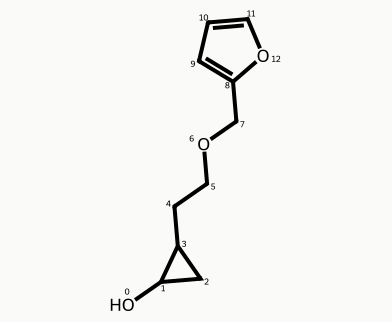 OC1CC1CCOCc1ccco1